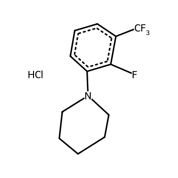 Cl.Fc1c(N2CCCCC2)cccc1C(F)(F)F